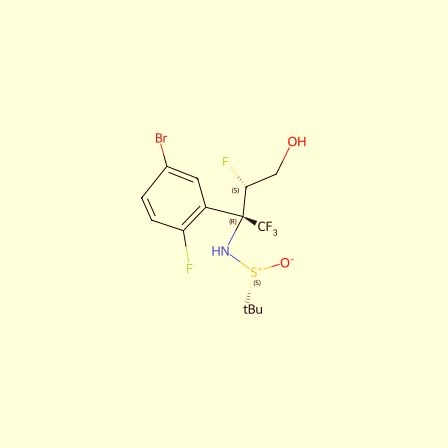 CC(C)(C)[S@@+]([O-])N[C@](c1cc(Br)ccc1F)([C@H](F)CO)C(F)(F)F